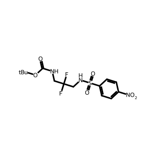 CC(C)(C)OC(=O)NCC(F)(F)CNS(=O)(=O)c1ccc([N+](=O)[O-])cc1